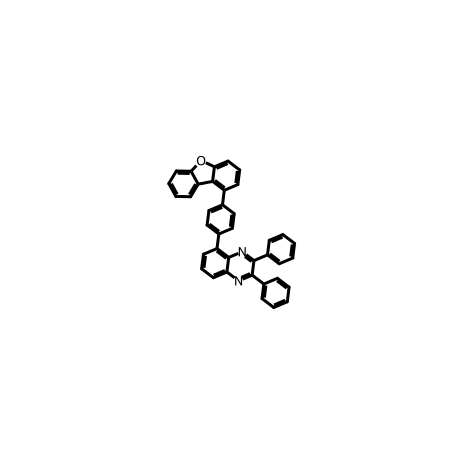 c1ccc(-c2nc3cccc(-c4ccc(-c5cccc6oc7ccccc7c56)cc4)c3nc2-c2ccccc2)cc1